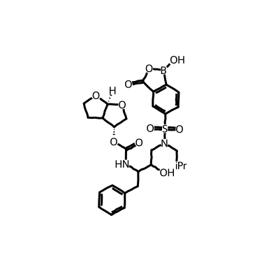 CC(C)CN(CC(O)C(Cc1ccccc1)NC(=O)O[C@H]1CO[C@@H]2OCCC21)S(=O)(=O)c1ccc2c(c1)C(=O)OB2O